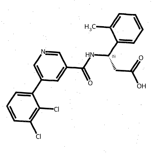 Cc1ccccc1[C@H](CC(=O)O)NC(=O)c1cncc(-c2cccc(Cl)c2Cl)c1